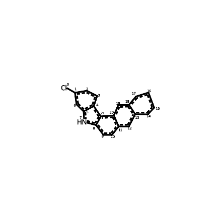 Clc1ccc2c(c1)[nH]c1ccc3cc4ccccc4cc3c12